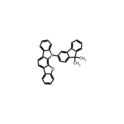 CC1(C)c2ccccc2-c2cc(-n3c4ccccc4c4ccc5c6ccccc6oc5c43)ccc21